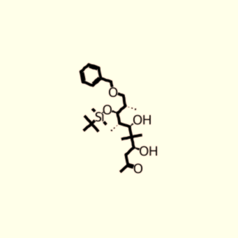 CC(=O)C[C@H](O)C(C)(C)[C@@H](O)[C@H](C)[C@@H](O[Si](C)(C)C(C)(C)C)[C@@H](C)COCc1ccccc1